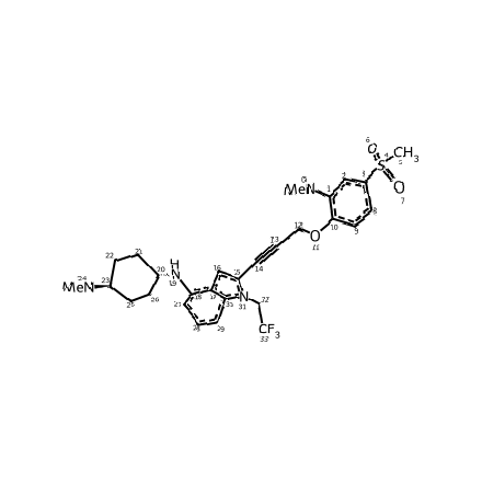 CNc1cc(S(C)(=O)=O)ccc1OCC#Cc1cc2c(N[C@H]3CC[C@H](NC)CC3)cccc2n1CC(F)(F)F